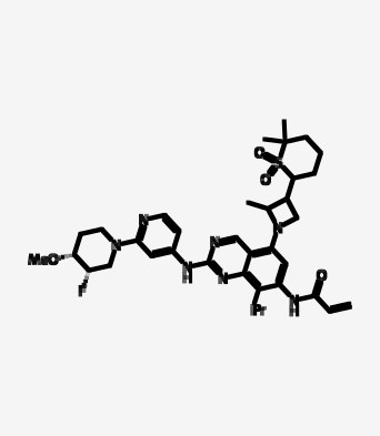 C=CC(=O)Nc1cc(N2CC(C3CCCC(C)(C)S3(=O)=O)C2C)c2cnc(Nc3ccnc(N4CC[C@@H](OC)[C@@H](F)C4)c3)nc2c1C(C)C